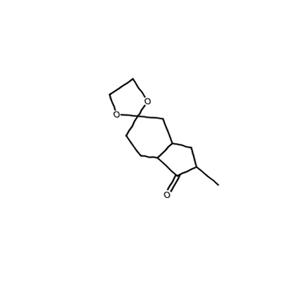 CC1CC2CC3(CCC2C1=O)OCCO3